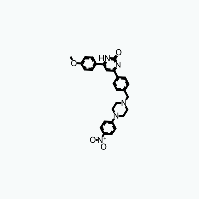 COc1ccc(-c2cc(-c3ccc(CN4CCN(c5ccc([N+](=O)[O-])cc5)CC4)cc3)nc(=O)[nH]2)cc1